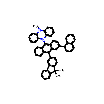 CN1c2ccccc2N(c2c3ccccc3c(-c3ccc4c(c3)-c3ccccc3C4(C)C)c3cc(-c4cccc5ccccc45)ccc23)c2ccccc21